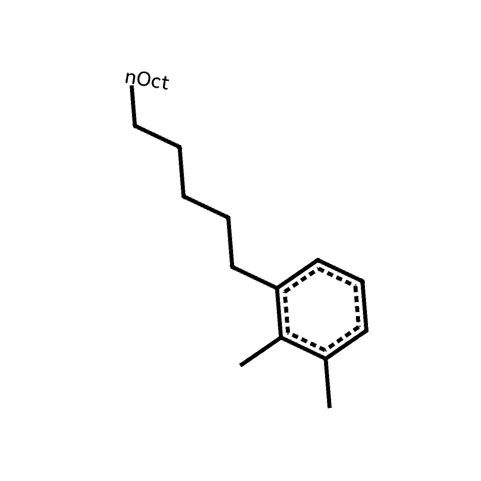 CCCCCCCCCCCCCc1cccc(C)c1C